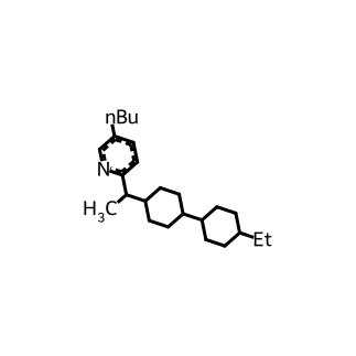 CCCCc1ccc(C(C)C2CCC(C3CCC(CC)CC3)CC2)nc1